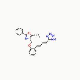 Cc1oc(-c2ccccc2)nc1COc1ccccc1C=CC=Cc1nnn[nH]1